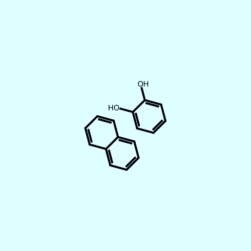 Oc1ccccc1O.c1ccc2ccccc2c1